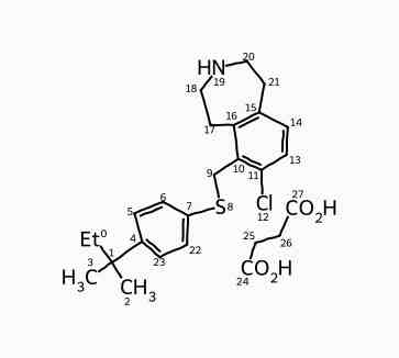 CCC(C)(C)c1ccc(SCc2c(Cl)ccc3c2CCNCC3)cc1.O=C(O)CCC(=O)O